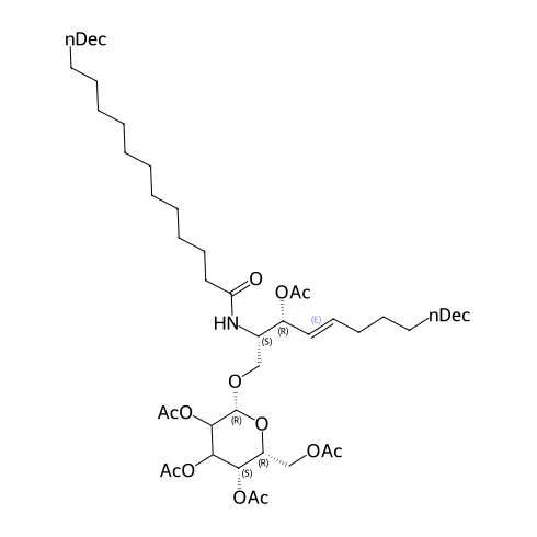 CCCCCCCCCCCCC/C=C/[C@@H](OC(C)=O)[C@H](CO[C@@H]1O[C@H](COC(C)=O)[C@H](OC(C)=O)C(OC(C)=O)C1OC(C)=O)NC(=O)CCCCCCCCCCCCCCCCCCCCC